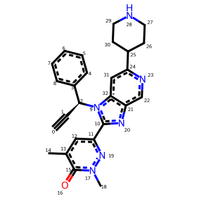 C#C[C@@H](c1ccccc1)n1c(-c2cc(C)c(=O)n(C)n2)nc2cnc(C3CCNCC3)cc21